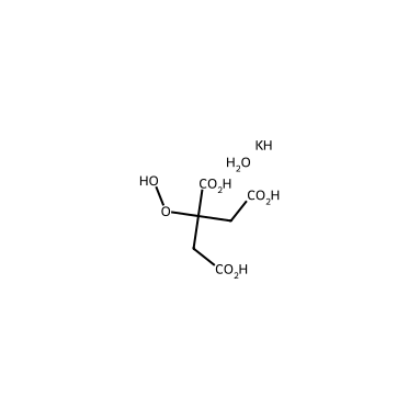 O.O=C(O)CC(CC(=O)O)(OO)C(=O)O.[KH]